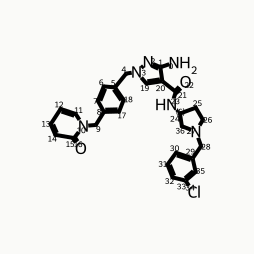 Nc1nn(Cc2ccc(Cn3ccccc3=O)cc2)cc1C(=O)N[C@H]1CCN(Cc2cccc(Cl)c2)C1